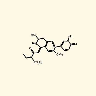 C=C1/C(=C\C(=O)/C(=C\C)C(=O)OCC)c2cc(OC)c(-c3ccc(=O)n(CCC)c3)cc2CC1C(C)(C)C